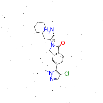 Cn1ncc(Cl)c1-c1ccc2c(c1)CN([C@H](CN)CC1CCCCC1)C2=O